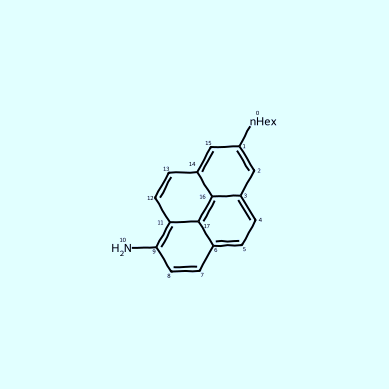 CCCCCCc1cc2ccc3ccc(N)c4ccc(c1)c2c34